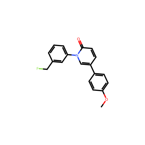 COc1ccc(-c2ccc(=O)n(-c3cccc(CF)c3)c2)cc1